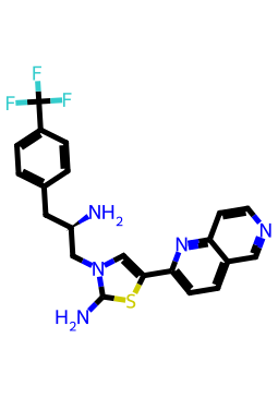 NC1SC(c2ccc3cnccc3n2)=CN1C[C@H](N)Cc1ccc(C(F)(F)F)cc1